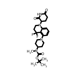 CN(C(=O)OC(C)(C)C)C1CCN(c2cccc3c2C(F)(F)CCN3C2CCC(=O)NC2=O)CC1